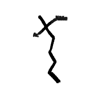 C=CCCCC(C)(NC)C(C)=O